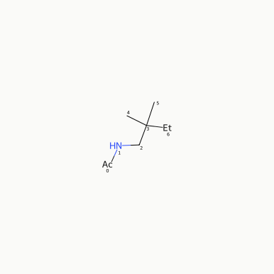 [CH2]C(=O)NCC(C)(C)CC